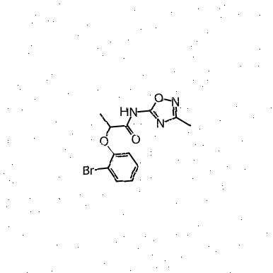 Cc1noc(NC(=O)C(C)Oc2ccccc2Br)n1